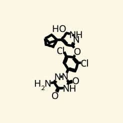 Nc1nn(-c2cc(Cl)c(OC3=NNC(O)C(C45CCC(C4)C5)=C3)c(Cl)c2)c(=O)[nH]c1=O